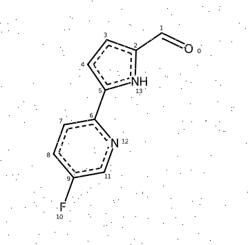 O=Cc1ccc(-c2ccc(F)cn2)[nH]1